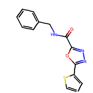 O=C(NCc1ccccc1)c1nnc(-c2cccs2)o1